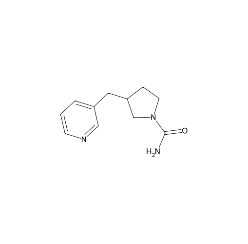 NC(=O)N1CCC(Cc2cccnc2)C1